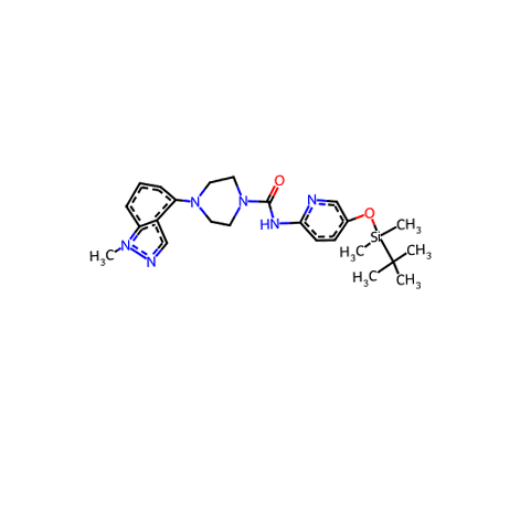 Cn1ncc2c(N3CCN(C(=O)Nc4ccc(O[Si](C)(C)C(C)(C)C)cn4)CC3)cccc21